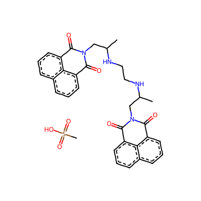 CC(CN1C(=O)c2cccc3cccc(c23)C1=O)NCCNC(C)CN1C(=O)c2cccc3cccc(c23)C1=O.CS(=O)(=O)O